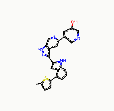 Cc1ccc(-c2cccc3[nH]c(-c4n[nH]c5cnc(-c6cncc(O)c6)cc45)cc23)s1